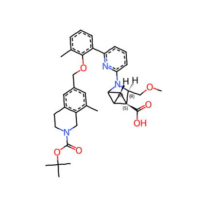 COC[C@@H]1N(c2cccc(-c3cccc(C)c3OCc3cc(C)c4c(c3)CCN(C(=O)OC(C)(C)C)C4)n2)C2C3[C@H]2[C@@]31C(=O)O